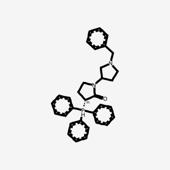 O=C1[C@H]([PH](c2ccccc2)(c2ccccc2)c2ccccc2)CCN1C1CCN(Cc2ccccc2)C1